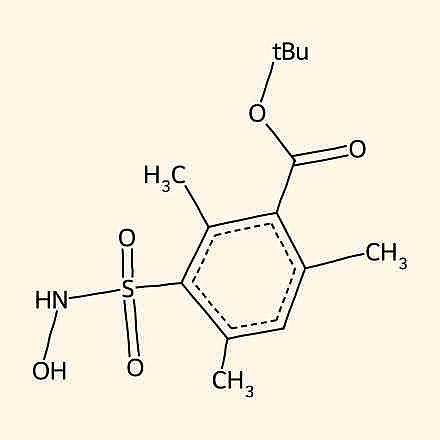 Cc1cc(C)c(S(=O)(=O)NO)c(C)c1C(=O)OC(C)(C)C